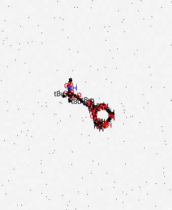 C=CCOC(=O)NC[C@H]1O[C@@H](CCC(=O)CCC/C=C/C(=O)C[C@H]2O[C@H]3[C@H](C)[C@H]4OC(=O)C[C@H]5CC[C@@H]6O[C@@H]7C(O)[C@@H](O[C@](C)(CC[C@H]8CC(=C)[C@H](CC[C@H]9C[C@@H](C)C(=C)[C@@H](C[C@@H]4O[C@H]3CC2O[Si](C)(C)C(C)(C)C)O9)O8)O[C@H]7C)[C@H]6O5)[C@@H](O[Si](C)(C)C(C)(C)C)C[C@H]1O[Si](C)(C)C(C)(C)C